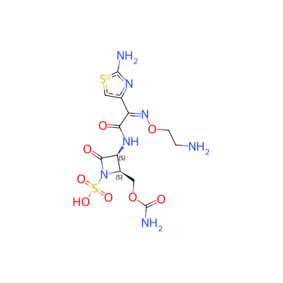 NCCON=C(C(=O)N[C@@H]1C(=O)N(S(=O)(=O)O)[C@@H]1COC(N)=O)c1csc(N)n1